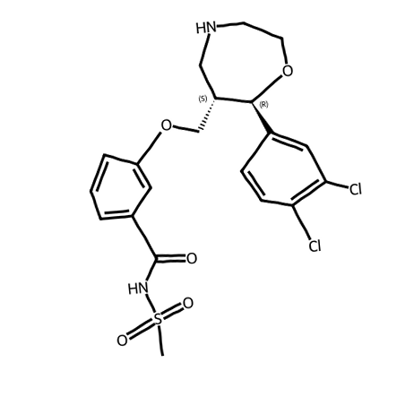 CS(=O)(=O)NC(=O)c1cccc(OC[C@@H]2CNCCO[C@H]2c2ccc(Cl)c(Cl)c2)c1